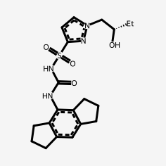 CC[C@H](O)Cn1ccc(S(=O)(=O)NC(=O)Nc2c3c(cc4c2CCC4)CCC3)n1